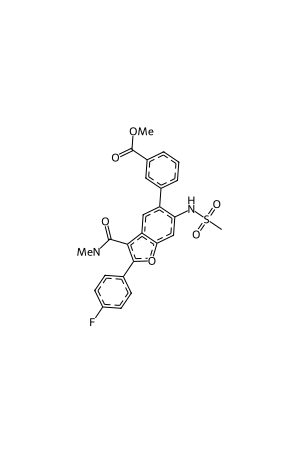 CNC(=O)c1c(-c2ccc(F)cc2)oc2cc(NS(C)(=O)=O)c(-c3cccc(C(=O)OC)c3)cc12